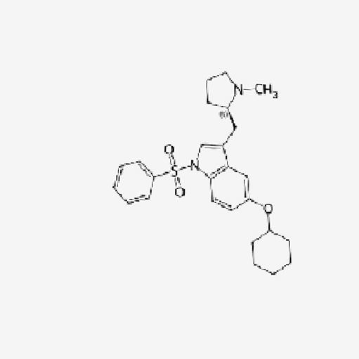 CN1CCC[C@@H]1Cc1cn(S(=O)(=O)c2ccccc2)c2ccc(OC3CCCCC3)cc12